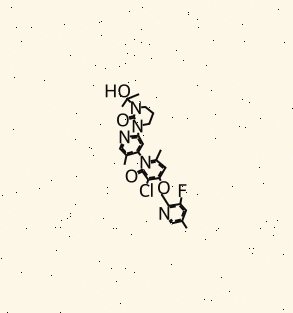 Cc1cnc(COc2cc(C)n(-c3cc(N4CCCN(C(C)(C)O)C4=O)ncc3C)c(=O)c2Cl)c(F)c1